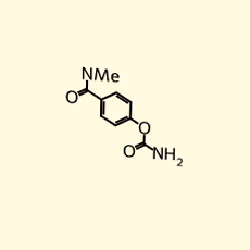 CNC(=O)c1ccc(OC(N)=O)cc1